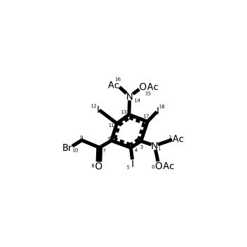 CC(=O)ON(C(C)=O)c1c(I)c(C(=O)CBr)c(I)c(N(OC(C)=O)C(C)=O)c1I